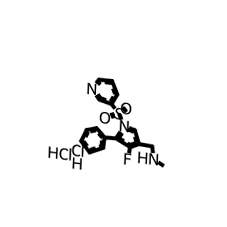 CNCc1cn(S(=O)(=O)c2cccnc2)c(-c2ccccc2)c1F.Cl.Cl